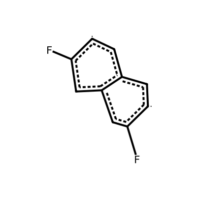 Fc1[c]cc2c[c]c(F)cc2c1